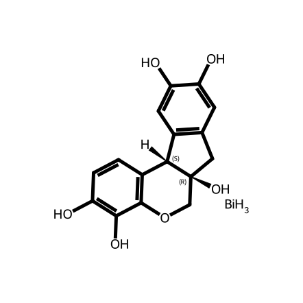 Oc1cc2c(cc1O)[C@H]1c3ccc(O)c(O)c3OC[C@@]1(O)C2.[BiH3]